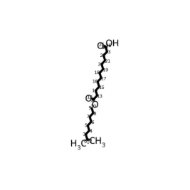 CC(C)CCCCCCCOC(=O)CCCCCCCCCCCC(=O)O